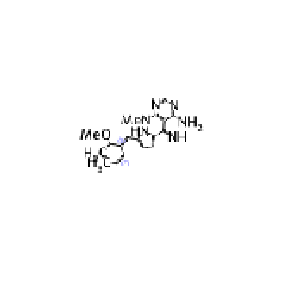 C=C(OC)C(/C=C\C)=C/c1ccc(C(=N)c2c(N)ncnc2NC)[nH]1